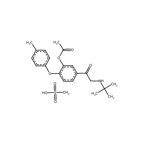 CC(=O)Oc1cc(C(=O)CNC(C)(C)C)ccc1Oc1ccc(C)cc1.CS(=O)(=O)O